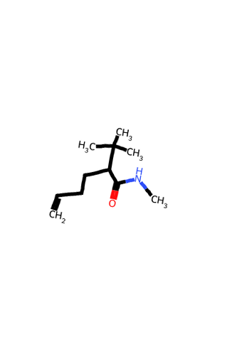 C=CCCC(C(=O)NC)C(C)(C)C